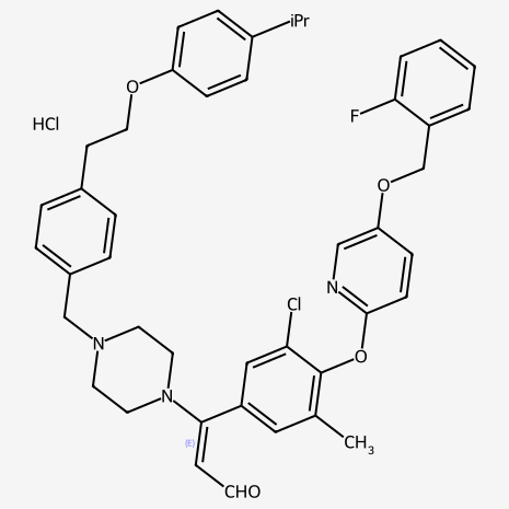 Cc1cc(/C(=C\C=O)N2CCN(Cc3ccc(CCOc4ccc(C(C)C)cc4)cc3)CC2)cc(Cl)c1Oc1ccc(OCc2ccccc2F)cn1.Cl